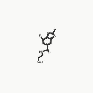 Cc1nc2c(F)cc(C(=O)NCCS(=O)(=O)O)cc2s1